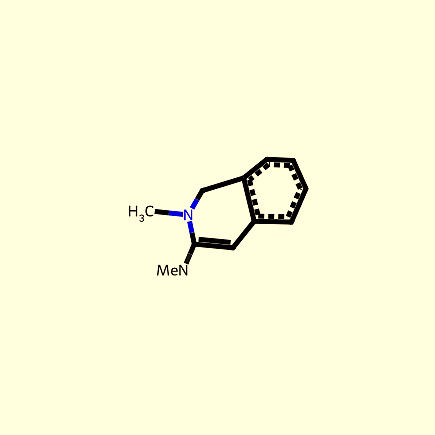 CNC1=Cc2ccccc2CN1C